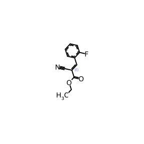 CCOC(=O)/C(C#N)=C/c1ccccc1F